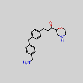 NCc1ccc(Cc2ccc(CCC(=O)C3CNCCO3)cc2)cc1